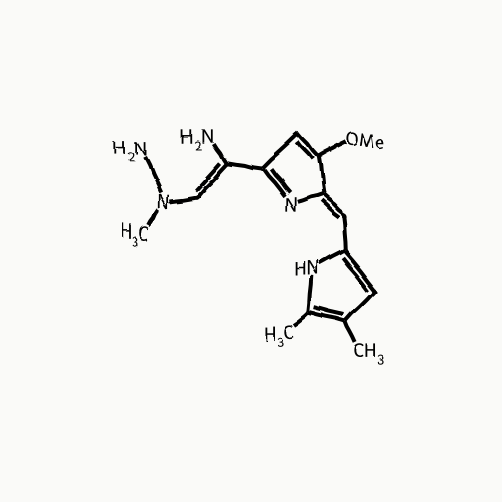 COC1=CC(C(/N)=C/N(C)N)=N/C1=C\c1cc(C)c(C)[nH]1